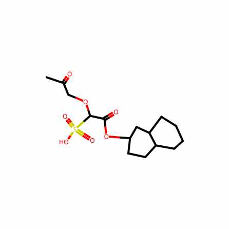 CC(=O)COC(C(=O)OC1CCC2CCCCC2C1)S(=O)(=O)O